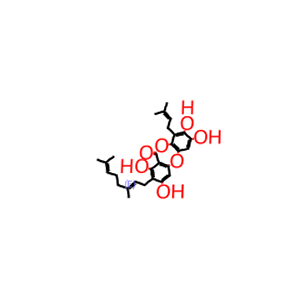 CC(C)=CCC/C(C)=C/Cc1c(O)cc2c(c1O)C(=O)Oc1c(cc(O)c(O)c1CC=C(C)C)O2